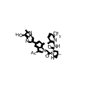 CC(=O)c1cn(CC(=O)N2[C@H](C(=O)Nc3nc(C(F)(F)F)ccc3C)C[C@@]3(C)C[C@@H]23)c2c(C)cc(-c3cnc4c(O)c(C)nn4c3)cc12